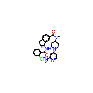 CN(C)c1cc(N2CCC(N(C)C(=O)c3ccc4c(c3)[C@H](NC(=O)c3ccccc3Cl)CC4)CC2)ccn1